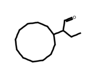 CCC(C=O)C1CCCCCCCCCCC1